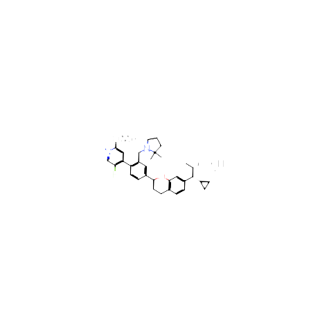 COc1cc(-c2ccc(C3CCc4ccc([C@H](C5CC5)[C@H](C)C(=O)O)cc4O3)cc2CN2CCCC2(C)C)c(F)cn1